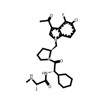 CN[C@@H](C)C(=O)N[C@H](C(=O)N1CCC[C@H]1Cn1cc(C(C)=O)c2c(F)c(Cl)ccc21)C1CCCCC1